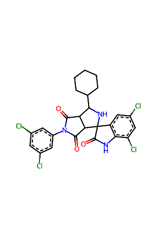 O=C1C2C(C3CCCCC3)NC3(C(=O)Nc4c(Cl)cc(Cl)cc43)C2C(=O)N1c1cc(Cl)cc(Cl)c1